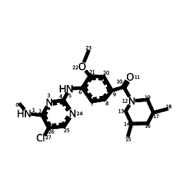 CNc1nc(Nc2ccc(C(=O)N3CC(C)CC(C)C3)cc2OC)ncc1Cl